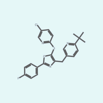 CC(C)(C)c1ccc(Cc2nc(-c3ccc(F)cc3)oc2Sc2ccc(Cl)cn2)cn1